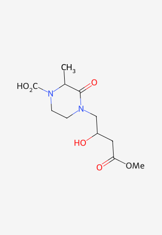 COC(=O)CC(O)CN1CCN(C(=O)O)C(C)C1=O